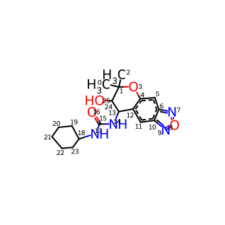 CC1(C)Oc2cc3nonc3cc2C(NC(=O)NC2CCCCC2)C1O